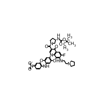 CC(C)(C)OC(=O)N[C@H]1CCN(C(=O)c2cn3c4cc5oc6cc([N+](=O)[O-])ccc6[nH]c5cc4oc4c(NCCN5CCCC5)c(F)cc(c2=O)c43)C1